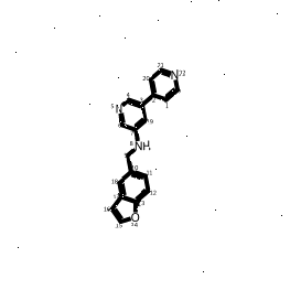 c1cc(-c2cncc(NCc3ccc4occc4c3)c2)ccn1